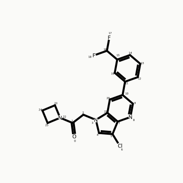 O=C(Cn1cc(Cl)c2ncc(-c3cccc(C(F)F)c3)cc21)N1CCC1